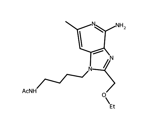 CCOCc1nc2c(N)nc(C)cc2n1CCCCNC(C)=O